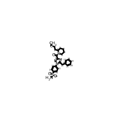 COCCC1CCCCN1C(=O)c1nc(Cc2ccccc2)n(-c2ccc(S(N)(=O)=O)cc2)n1